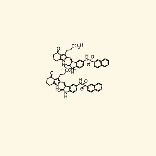 O=C(O)CCc1c(/C=C2\C(=O)Nc3ccc(NS(=O)(=O)c4ccc5ccccc5c4)cc32)[nH]c2c1C(=O)CCC2.O=C(O)CCc1c(C=C2C(=O)Nc3ccc(NS(=O)(=O)c4ccc5ccccc5c4)cc32)[nH]c2c1C(=O)CCC2